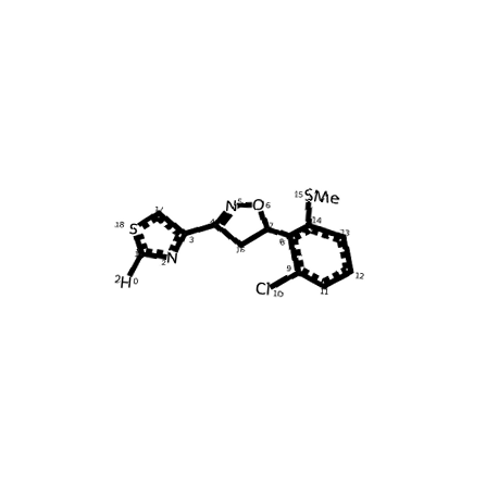 [2H]c1nc(C2=NOC(c3c(Cl)cccc3SC)C2)cs1